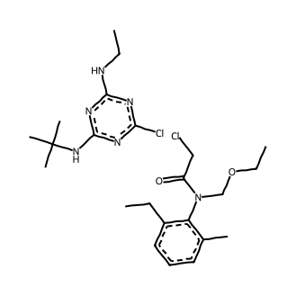 CCNc1nc(Cl)nc(NC(C)(C)C)n1.CCOCN(C(=O)CCl)c1c(C)cccc1CC